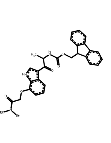 CCN(CC)C(=O)COc1cccc2c(C(=O)C(C)NC(=O)OCC3c4ccccc4-c4ccccc43)c[nH]c12